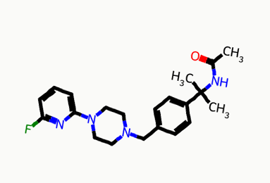 CC(=O)NC(C)(C)c1ccc(CN2CCN(c3cccc(F)n3)CC2)cc1